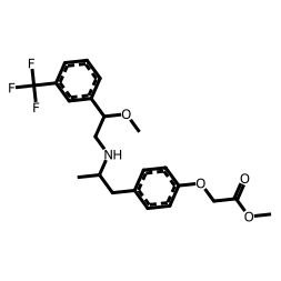 COC(=O)COc1ccc(CC(C)NCC(OC)c2cccc(C(F)(F)F)c2)cc1